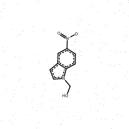 O=[N+]([O-])c1ccc2c(ccn2CO)c1